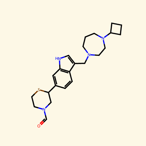 O=CN1CCSC(c2ccc3c(CN4CCCN(C5CCC5)CC4)c[nH]c3c2)C1